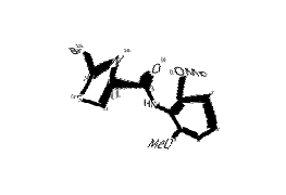 COc1cccc(OC)c1NC(=O)c1csc(Br)n1